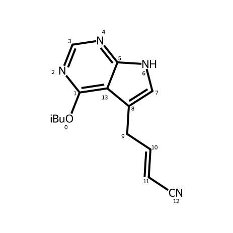 CC(C)COc1ncnc2[nH]cc(CC=CC#N)c12